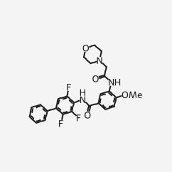 COc1ccc(C(=O)Nc2c(F)cc(-c3ccccc3)c(F)c2F)cc1NC(=O)CN1CCOCC1